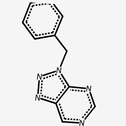 c1ccc(Cn2nnc3cncnc32)cc1